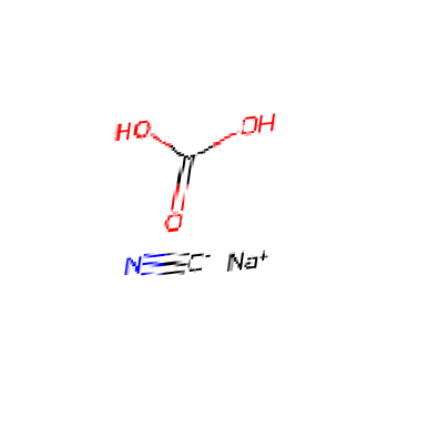 O=C(O)O.[C-]#N.[Na+]